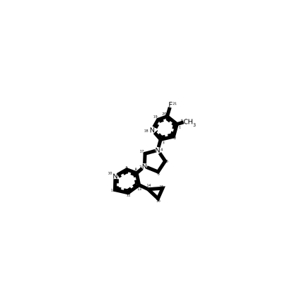 Cc1cc(N2CCN(c3cnccc3C3CC3)C2)ncc1F